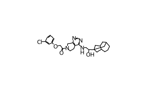 O=C(COc1cccc(Cl)c1)N1CCc2c(ncnc2NCC(O)C23CC4CCCC(C2)C(C4)C3)C1